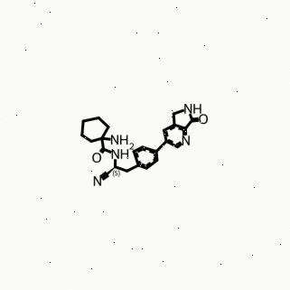 N#C[C@H](Cc1ccc(-c2cnc3c(c2)CNC3=O)cc1)NC(=O)C1(N)CCCCC1